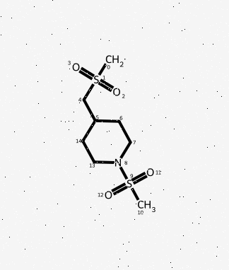 [CH2]S(=O)(=O)CC1CCN(S(C)(=O)=O)CC1